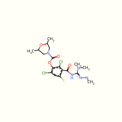 C=N/N=C(/NC(=O)c1c(F)cc(Cl)c(OC(=O)N2CC(C)OC(C)C2)c1Cl)N(C)C